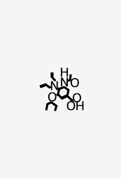 C=CCN(CC=C)C1C(NC(C)=O)CC(C(=O)O)=CC1OC(CC)CC